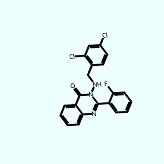 O=c1c2ccccc2nc(-c2ccccc2F)n1NCc1ccc(Cl)cc1Cl